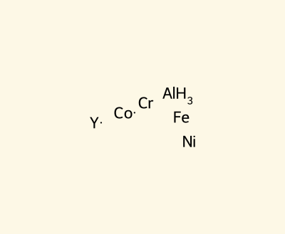 [AlH3].[Co].[Cr].[Fe].[Ni].[Y]